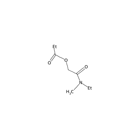 CCC(=O)OCC(=O)N(C)CC